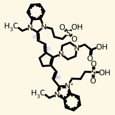 CCN1/C(=C/C=C2\CCC(/C=C/c3n(CC)c4ccccc4[n+]3CCCS(=O)(=O)O)=C2N2CCN(CC(=O)O)CC2)N(CCCS(=O)(=O)O)c2ccccc21